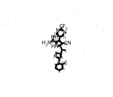 CC(C1=CC(c2ccccc2F)=NC1)c1[nH]c(C(=N)N)c(-c2cnc(C(F)(F)F)nc2)c1C#N